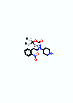 CC(C)(C)OC=O.O=[N+]([O-])c1ccccc1CCNC1CCNCC1